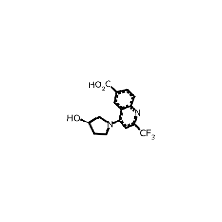 O=C(O)c1ccc2nc(C(F)(F)F)cc(N3CC[C@@H](O)C3)c2c1